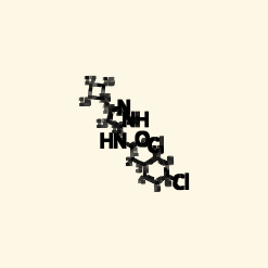 O=C(Cc1ccc(Cl)cc1Cl)Nc1cc(C2CCC2)n[nH]1